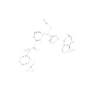 N#CCC(c1cccc(C(=O)Nc2cccc(C(F)(F)F)c2)c1)n1cc(-c2ncnc3[nH]ccc23)cn1